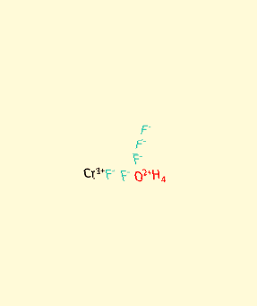 [Cr+3].[F-].[F-].[F-].[F-].[F-].[OH4+2]